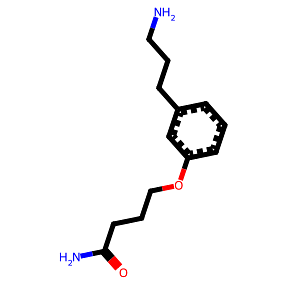 NCCCc1cccc(OCCCC(N)=O)c1